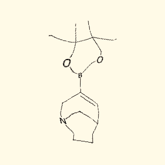 CC1(C)OB(C2=CC3CCN(C2)C3)OC1(C)C